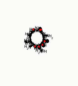 CC(O)[C@@H]1NC(=O)[C@H](Cc2ccccc2)NC(=O)[C@H](C(C)O)NC(=O)[C@H](CCCCN)NC(=O)[C@H](Cc2c[nH]c3ccccc23)NC(=O)[C@H](Cc2ccccc2)NC(=O)[C@H](Cc2ccccc2)NC(=O)[C@H](CC(N)=O)NC(=O)[C@H](CCCCN)NC(=O)[C@@H](NC(=O)CNC(=O)[C@H](C)N)CSSC[C@@H](C(=O)O)NC(=O)[C@H](CO)NC1=O.NC(=O)O